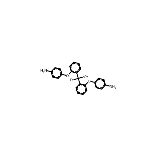 CCCC(CC)(c1ccccc1Oc1ccc(N)cc1)c1ccccc1Oc1ccc(N)cc1